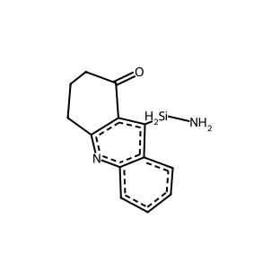 N[SiH2]c1c2c(nc3ccccc13)CCCC2=O